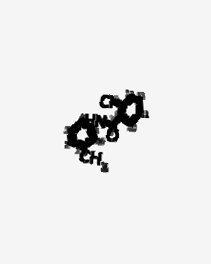 Cc1cccc(NC(=O)c2ccccc2Cl)c1